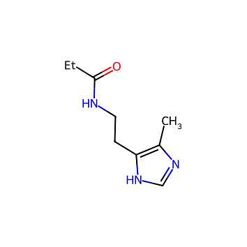 CCC(=O)NCCc1[nH]cnc1C